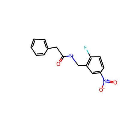 O=C(Cc1ccccc1)[N]Cc1cc([N+](=O)[O-])ccc1F